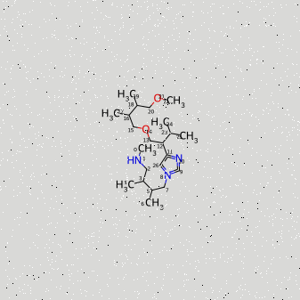 CNCC(C)C(C)Cn1cnc(C(COCC(C)C(C)COC)C(C)C)c1